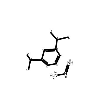 CC(C)c1cccc(C(C)C)c1.N=NN